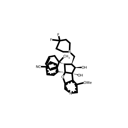 COc1cncc2c1[C@]1(O)[C@H](O)[C@H](CN3CCC(F)(F)CC3)[C@@H](C3(C)C=CC=CC3)[C@]1(c1ccc(C#N)cc1)O2